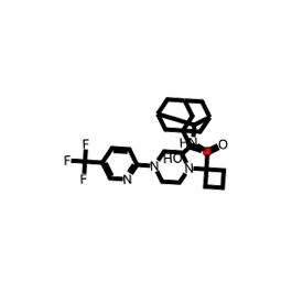 O=C(O)C12CC3CC(C1)C(NC(=O)C1(N4CCN(c5ccc(C(F)(F)F)cn5)CC4)CCC1)C(C3)C2